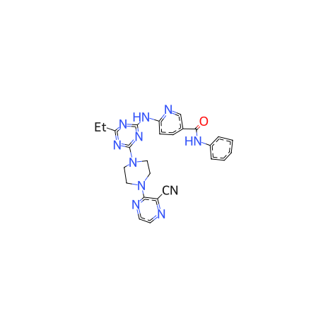 CCc1nc(Nc2ccc(C(=O)Nc3ccccc3)cn2)nc(N2CCN(c3nccnc3C#N)CC2)n1